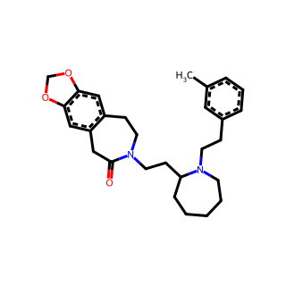 Cc1cccc(CCN2CCCCCC2CCN2CCc3cc4c(cc3CC2=O)OCO4)c1